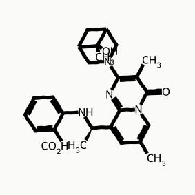 Cc1cc([C@@H](C)Nc2ccccc2C(=O)O)c2nc(N3CC4CC(C3)C4(C)O)c(C)c(=O)n2c1